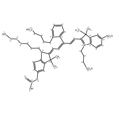 CC1(C)C(/C=C/C(=C/C=C2/N(CCCSOOO)c3ccc(OS(=O)O)cc3C2(C)C)c2ccccc2CCCCC(=O)O)=[N+](CCCS(=O)(=O)O)c2ccc(S(=O)(=O)O)cc21